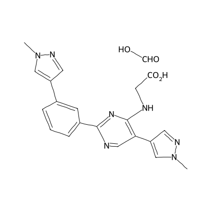 Cn1cc(-c2cccc(-c3ncc(-c4cnn(C)c4)c(NCC(=O)O)n3)c2)cn1.O=CO